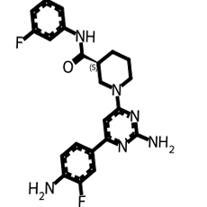 Nc1nc(-c2ccc(N)c(F)c2)cc(N2CCC[C@H](C(=O)Nc3cccc(F)c3)C2)n1